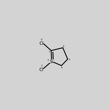 ClC1=[Si](Cl)CCC1